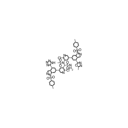 Cc1ccc(S(=O)(=O)n2ncc3c(-c4nnn[nH]4)cc(-c4cnc(Cl)c(C(N(c5cc(-c6cc(-c7nnc(C)o7)c7cnn(S(=O)(=O)c8ccc(C)cc8)c7c6)cnc5Cl)S(C)(=O)=O)S(N)(=O)=O)c4)cc32)cc1